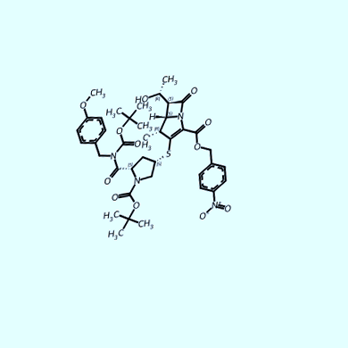 COc1ccc(CN(C(=O)OC(C)(C)C)C(=O)[C@@H]2C[C@H](SC3=C(C(=O)OCc4ccc([N+](=O)[O-])cc4)N4C(=O)[C@H]([C@@H](C)O)[C@H]4[C@H]3C)CN2C(=O)OC(C)(C)C)cc1